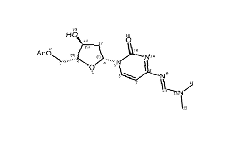 CC(=O)OC[C@H]1O[C@@H](n2ccc(N=CN(C)C)nc2=O)C[C@@H]1O